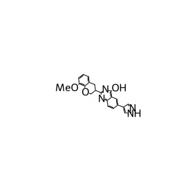 COc1cccc2c1OCC(c1nc(O)c3cc(-c4cn[nH]c4)ccc3n1)C2